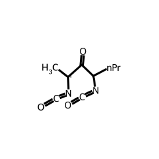 [CH2]CCC(N=C=O)C(=O)[C](C)N=C=O